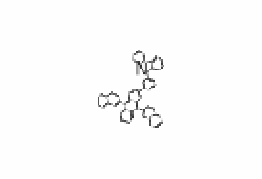 c1cc(-c2ccc3c(-c4ccc5ccccc5c4)c4ccccc4c(-c4ccc5ccccc5c4)c3c2)cc(-c2nc3ccccc3c3ccccc23)c1